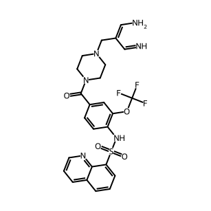 N=C/C(=C\N)CN1CCN(C(=O)c2ccc(NS(=O)(=O)c3cccc4cccnc34)c(OC(F)(F)F)c2)CC1